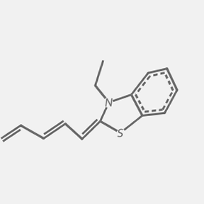 [CH]=C/C=C/C=C1/Sc2ccccc2N1CC